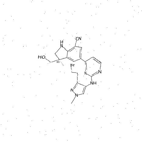 CC(C)CCc1nn(C)cc1Nc1nccc(-c2cc(C#N)c3c(c2)[C@@](C)(CO)CN3)n1